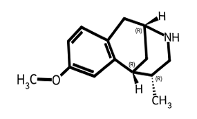 COc1ccc2c(c1)[C@@H]1C[C@H](C2)NC[C@@H]1C